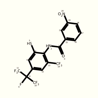 O=C(Nc1c(S)cc(C(F)(C(F)(F)F)C(F)(F)F)cc1C(F)(F)F)c1cccc([N+](=O)[O-])c1